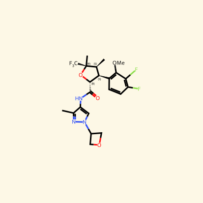 COc1c([C@H]2[C@H](C(=O)Nc3cn(C4COC4)nc3C)O[C@@](C)(C(F)(F)F)[C@H]2C)ccc(F)c1F